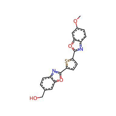 COc1ccc2nc(-c3ccc(-c4nc5ccc(CO)cc5o4)s3)oc2c1